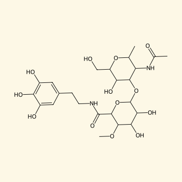 COC1C(C(=O)NCCc2cc(O)c(O)c(O)c2)OC(OC2C(O)C(CO)OC(C)C2NC(C)=O)C(O)C1O